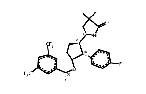 C[C@@H](OC1CC[C@@H]([C@H]2CC(C)(C)C(=O)N2)[C@@H]1c1ccc(F)cc1)c1cc(C(F)(F)F)cc(C(F)(F)F)c1